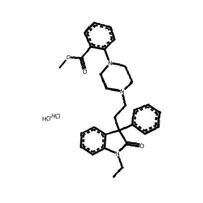 CCN1C(=O)C(CCN2CCN(c3ccccc3C(=O)OC)CC2)(c2ccccc2)c2ccccc21.Cl.Cl